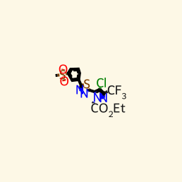 CCOC(=O)Cn1nc(C(F)(F)F)c(Cl)c1-c1nnc(-c2cccc(S(C)(=O)=O)c2)s1